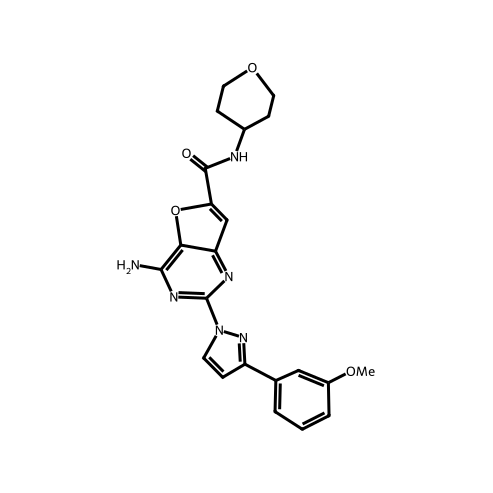 COc1cccc(-c2ccn(-c3nc(N)c4oc(C(=O)NC5CCOCC5)cc4n3)n2)c1